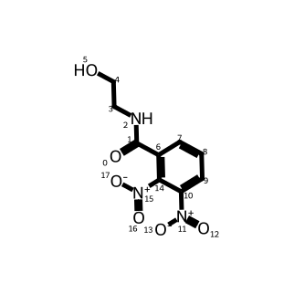 O=C(NCCO)c1cccc([N+](=O)[O-])c1[N+](=O)[O-]